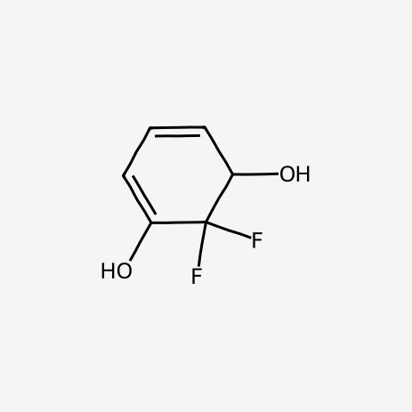 OC1=CC=CC(O)C1(F)F